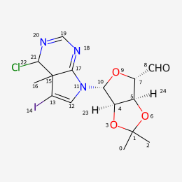 CC1(C)O[C@@H]2[C@H](O1)[C@@H](C=O)O[C@H]2N1C=C(I)C2(C)C1=NC=NC2Cl